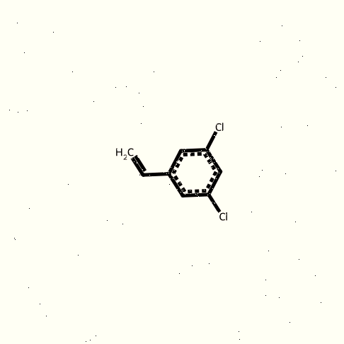 C=[C]c1cc(Cl)cc(Cl)c1